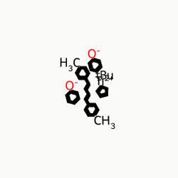 C[C](C)(C)[Ti+2][C]1=CC=CC1.Cc1ccc(C=CC=Cc2ccc(C)cc2)cc1.[O-]c1ccccc1.[O-]c1ccccc1